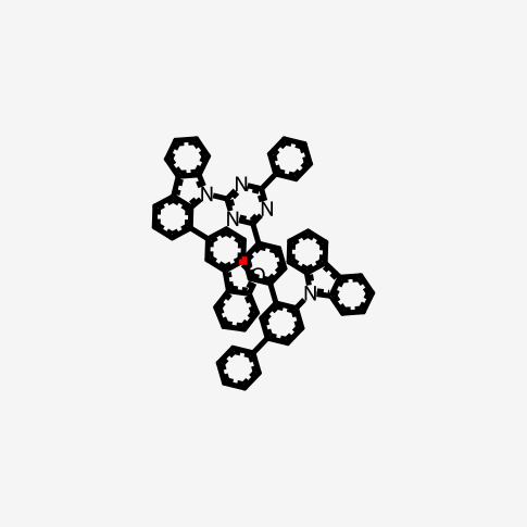 c1ccc(-c2ccc(-n3c4ccccc4c4ccccc43)c(-c3ccc(-c4nc(-c5ccccc5)nc(-n5c6ccccc6c6cccc(-c7ccc8oc9ccccc9c8c7)c65)n4)cc3)c2)cc1